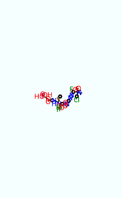 Cc1c(S(C)(=O)=O)c(-c2cc(F)cc(N3CCN(c4ccc(N5CCO[P@@]5(=O)c5ccc(N[C@H](CCN6CCC(C(=O)OCCCP(=O)(O)O)CC6)CSc6ccccc6)c(S(=O)(=O)C(F)(F)F)c5)cc4)CC3)c2)c(-c2ccc(Cl)cc2)n1C(C)C